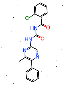 Cc1nc(NC(=O)NC(=O)c2ccccc2Cl)cnc1-c1ccccc1